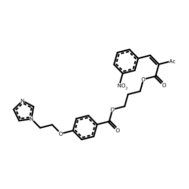 CC(=O)C(=Cc1cccc([N+](=O)[O-])c1)C(=O)OCCCOC(=O)c1ccc(OCCn2ccnc2)cc1